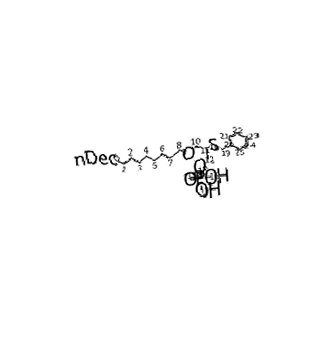 CCCCCCCCCCCCCCCCCCOC[C@H](COP(=O)(O)O)SCc1ccccc1